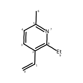 C=Cc1ccc(C)nc1CC